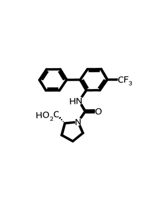 O=C(O)[C@H]1CCCN1C(=O)Nc1cc(C(F)(F)F)ccc1-c1ccccc1